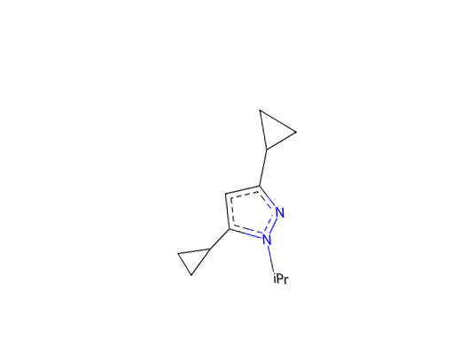 CC(C)n1nc(C2CC2)cc1C1CC1